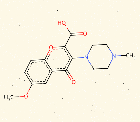 COc1ccc2oc(C(=O)O)c(N3CCN(C)CC3)c(=O)c2c1